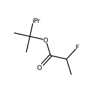 CC(F)C(=O)OC(C)(C)C(C)C